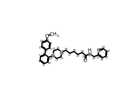 COc1ccc(-c2ccccc2N2CCN(CCCCCC(=O)NCc3ccccn3)CC2)cc1